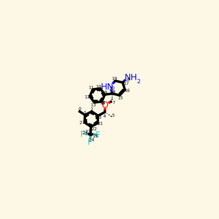 Cc1cc([C@@H](C)OC[C@@]2(c3ccccc3)C=CC(N)CN2)cc(C(F)(F)F)c1